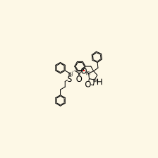 O=C(C[C@H](SCCCc1ccccc1)c1ccccc1)O[C@@H]1C2OC[C@@H]2CC1(Cc1ccccc1)Cc1ccccc1